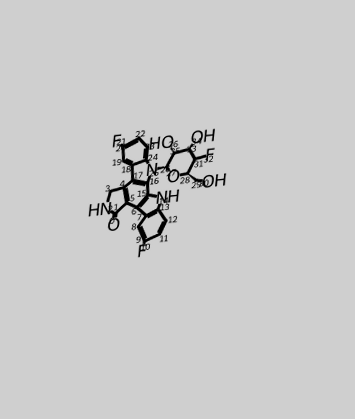 O=C1NCc2c1c1c3cc(F)ccc3[nH]c1c1c2c2cc(F)ccc2n1[C@@H]1O[C@H](CO)C(F)[C@H](O)[C@H]1O